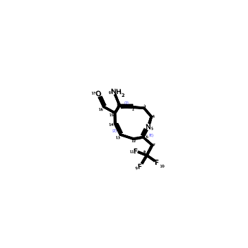 N/C1=C\CC/N=C(/CC(F)(F)F)C/C=C\C1C=O